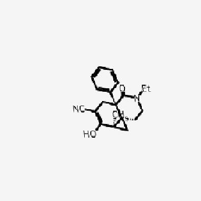 CCN1CC[C@]23C[C@@]2(C)C(O)=C(C#N)C[C@]3(c2ccccc2)C1=O